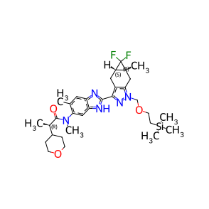 Cc1cc2nc(-c3nn(COCC[Si](C)(C)C)c4c3C[C@@H]3C(F)(F)[C@]3(C)C4)[nH]c2cc1N(C)C(=O)[C@H](C)C1CCOCC1